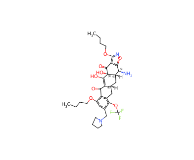 CCCCOc1cc(CN2CCCC2)c(OC(F)(F)F)c2c1C(=O)C1=C(O)[C@]3(O)C(=O)c4c(OCCCC)noc4[C@@H](N)[C@@H]3C[C@@H]1C2